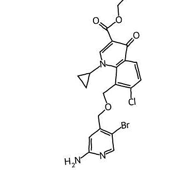 CCOC(=O)c1cn(C2CC2)c2c(COCc3cc(N)ncc3Br)c(Cl)ccc2c1=O